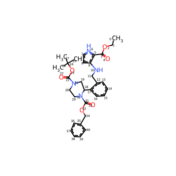 CCOC(=O)c1[nH]ccc1NCc1ccccc1C1CN(C(=O)OC(C)(C)C)CCN1C(=O)OCc1ccccc1